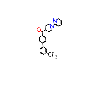 O=C(c1ccc(-c2cccc(C(F)(F)F)c2)cc1)C1CCN(c2ccccn2)CC1